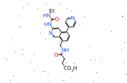 CCNC(=O)Nc1cc2c(-c3ccncc3)ccc(CNC(=O)CCC(=O)O)c2cn1